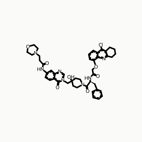 O=C(CCN1CCOCC1)Nc1ccc2c(=O)n(CC3(O)CCN(C(=O)[C@H](Cc4ccccc4)NC(=O)COc4cccc5c(Cl)c6c(nc45)CCCC6)CC3)cnc2c1